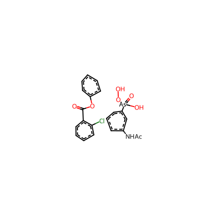 CC(=O)Nc1cccc([As](=O)(O)OO)c1.O=C(Oc1ccccc1)c1ccccc1Cl